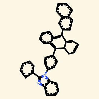 C1=CCC2C(=C1)C(c1ccc3ccccc3c1)=c1ccccc1=C2c1ccc(-n2c(-c3ccccc3)nc3ccccc32)cc1